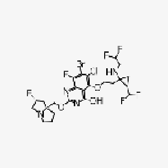 Oc1nc(OC[C@@]23CCCN2C[C@H](F)C3)nc2c(F)c(Br)c(Cl)c(OCCC3(NCC(F)F)CC3C(F)F)c12